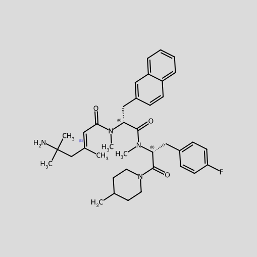 C/C(=C\C(=O)N(C)[C@H](Cc1ccc2ccccc2c1)C(=O)N(C)[C@H](Cc1ccc(F)cc1)C(=O)N1CCC(C)CC1)CC(C)(C)N